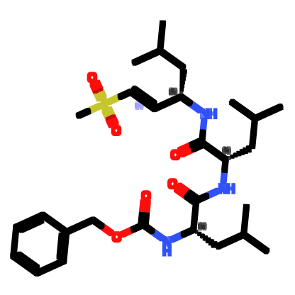 CC(C)C[C@@H](/C=C/S(C)(=O)=O)NC(=O)[C@H](CC(C)C)NC(=O)[C@H](CC(C)C)NC(=O)OCc1ccccc1